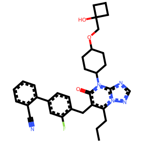 CCCc1c(Cc2ccc(-c3ccccc3C#N)cc2F)c(=O)n(C2CCC(OCC3(O)CCC3)CC2)c2ncnn12